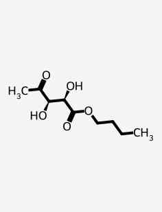 CCCCOC(=O)[C@H](O)[C@@H](O)C(C)=O